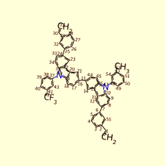 C=Cc1cccc(-c2ccc3c(c2)c2cc(-c4ccc5c(c4)c4cc(-c6cccc(C=C)c6)ccc4n5-c4cccc(C(F)(F)F)c4)ccc2n3-c2cccc(C)c2)c1